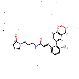 O=C(/C=C/c1cc[c]c(C(F)(F)F)c1-c1ccc2c(c1)CCOO2)NCCCN1CCCC1=O